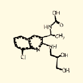 CC(NC(=O)O)c1cc2cccc(Cl)c2nc1NCC(O)CO